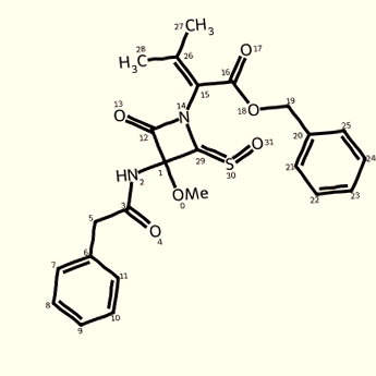 COC1(NC(=O)Cc2ccccc2)C(=O)N(C(C(=O)OCc2ccccc2)=C(C)C)C1=S=O